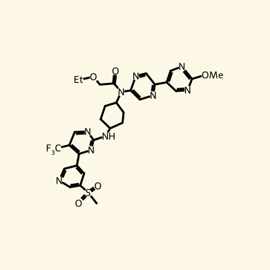 CCOCC(=O)N(c1cnc(-c2cnc(OC)nc2)cn1)C1CCC(Nc2ncc(C(F)(F)F)c(-c3cncc(S(C)(=O)=O)c3)n2)CC1